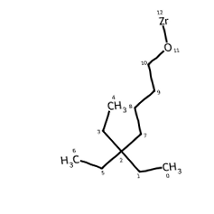 CCC(CC)(CC)CCCC[O][Zr]